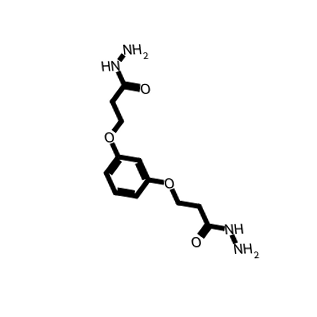 NNC(=O)CCOc1cccc(OCCC(=O)NN)c1